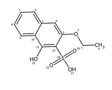 CCOc1cc2ccccc2c(O)c1S(=O)(=O)O